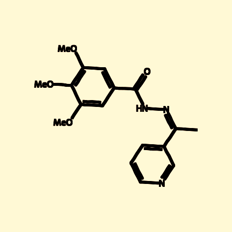 COc1cc(C(=O)NN=C(C)c2cccnc2)cc(OC)c1OC